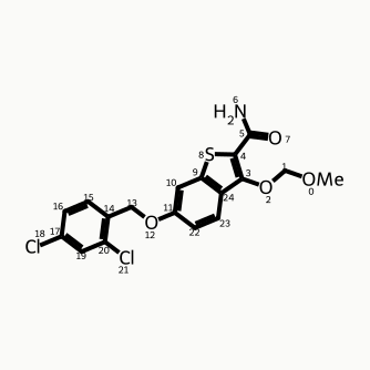 COCOc1c(C(N)=O)sc2cc(OCc3ccc(Cl)cc3Cl)ccc12